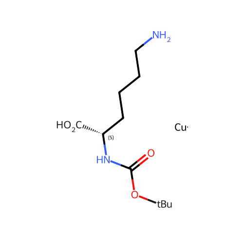 CC(C)(C)OC(=O)N[C@@H](CCCCN)C(=O)O.[Cu]